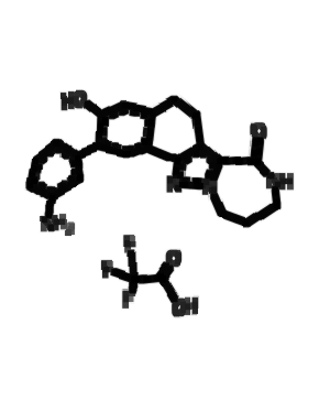 Nc1cccc(-c2cc3c(cc2O)CCc2c-3nn3c2C(=O)NCCC3)c1.O=C(O)C(F)(F)F